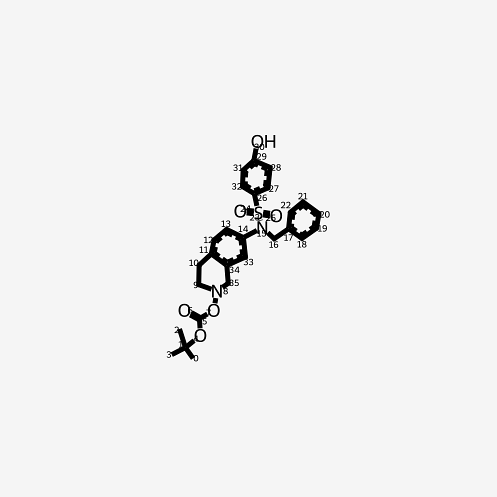 CC(C)(C)OC(=O)ON1CCc2ccc(N(Cc3ccccc3)S(=O)(=O)c3ccc(O)cc3)cc2C1